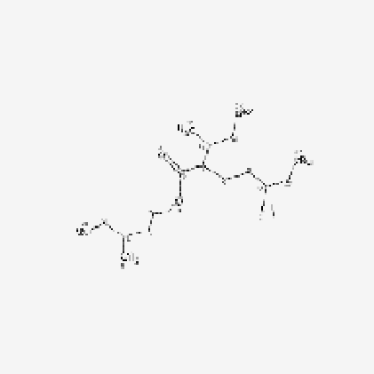 CC(CCOC(=O)C(CCC(C)CC(C)(C)C)C(C)CC(C)(C)C)CC(C)(C)C